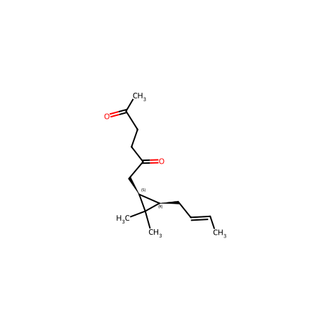 CC=CC[C@@H]1[C@H](CC(=O)CCC(C)=O)C1(C)C